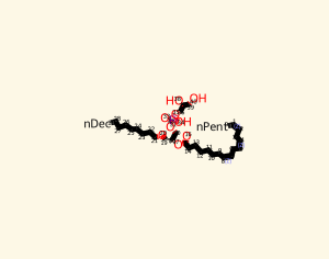 CCCCC/C=C\C/C=C\C/C=C\CCCCCCC(=O)O[C@H](COCCCCCCCCCCCCCCCCCC)COP(=O)(O)OC[C@@H](O)CO